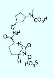 CN(C(=O)O)[C@H]1CC[C@H](ONC(=O)[C@@H]2CC[C@@H]3CN2C(=O)N3OS(=O)(=O)O)C1